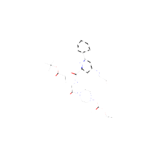 CCOC(=O)ON1CCN(C(=O)[C@H](CCC(=O)OC(C)(C)C)NC(=O)c2cc(NCCO)cc(-c3ccccc3)n2)CC1